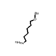 [CH2]CC(C)OCCCCCCCCCCCC